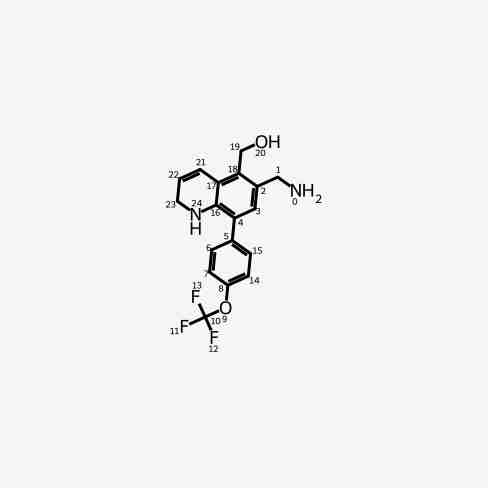 NCc1cc(-c2ccc(OC(F)(F)F)cc2)c2c(c1CO)C=CCN2